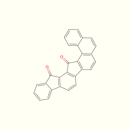 O=c1c2ccccc2c2ccc3c4ccc5ccc6ccccc6c5c4c(=O)c3c12